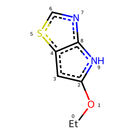 CCOc1cc2scnc2[nH]1